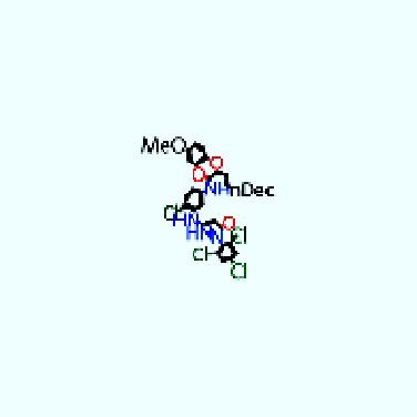 CCCCCCCCCCCCC(Oc1ccc(OC)cc1)C(=O)Nc1ccc(Cl)c(Nc2cc(=O)n(-c3c(Cl)cc(Cl)cc3Cl)[nH]2)c1